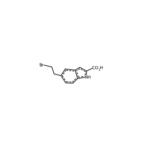 O=C(O)c1cc2cc(CCBr)ccc2[nH]1